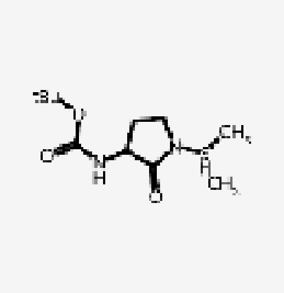 C[SH](C)N1CCC(NC(=O)OC(C)(C)C)C1=O